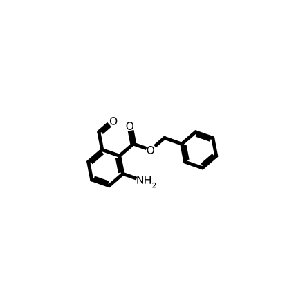 Nc1cccc(C=O)c1C(=O)OCc1ccccc1